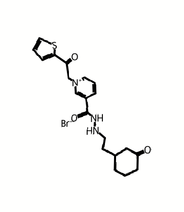 O=C1CCCC(CCNNC(=O)c2ccc[n+](CC(=O)c3cccs3)c2)C1.[Br-]